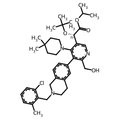 Cc1cccc(Cl)c1CN1CCc2cc(-c3c(CO)ncc([C@H](OC(C)(C)C)C(=O)OC(C)C)c3N3CCC(C)(C)CC3)ccc2C1